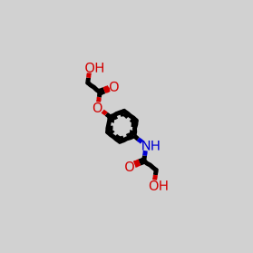 O=C(CO)Nc1ccc(OC(=O)CO)cc1